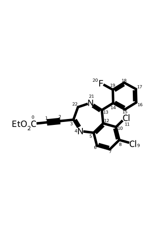 CCOC(=O)C#CC1=Nc2ccc(Cl)c(Cl)c2C(c2ccccc2F)=NC1